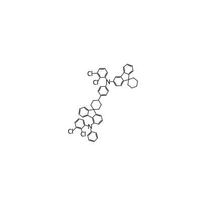 Clc1cccc(N(c2ccc(C3CCC4(CC3)c3ccccc3-c3c(N(c5ccccc5)c5cccc(Cl)c5Cl)cccc34)cc2)c2ccc3c(c2)-c2ccccc2C32CCCCC2)c1Cl